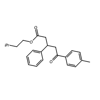 Cc1ccc(C(=O)CC(CC(=O)OCCC(C)C)c2ccccc2)cc1